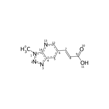 Cn1nnc2cc(C=CC(=O)O)cnc21